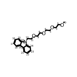 COCCOCCOCCOCCn1c2ccccc2c2ccccc21